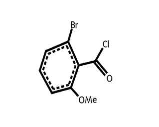 COc1cccc(Br)c1C(=O)Cl